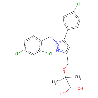 CC(C)(OCc1cc(-c2ccc(Cl)cc2)n(Cc2ccc(Cl)cc2Cl)n1)C(O)O